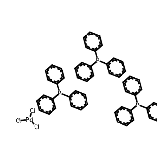 [Cl][Pd]([Cl])[Cl].c1ccc(P(c2ccccc2)c2ccccc2)cc1.c1ccc(P(c2ccccc2)c2ccccc2)cc1.c1ccc(P(c2ccccc2)c2ccccc2)cc1